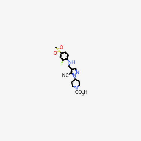 CS(=O)(=O)c1ccc(NCc2cnn(C3CCN(C(=O)O)CC3)c2C#N)c(F)c1